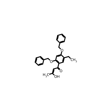 CCc1cc(C(=O)/C=C(/C)O)c(OCc2ccccc2)cc1OCc1ccccc1